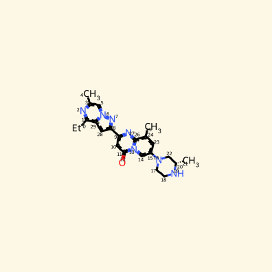 CCc1nc(C)cn2nc(-c3cc(=O)n4cc(N5CCN[C@@H](C)C5)cc(C)c4n3)cc12